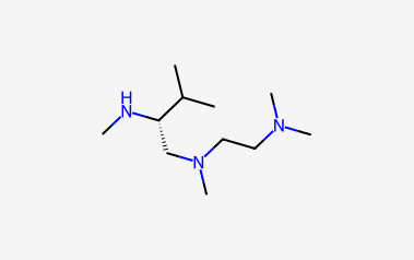 CN[C@@H](CN(C)CCN(C)C)C(C)C